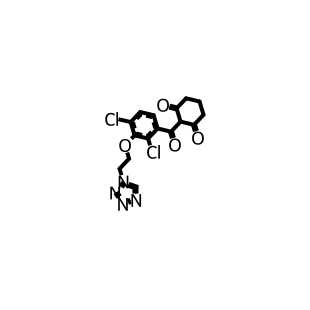 O=C1CCCC(=O)C1C(=O)c1ccc(Cl)c(OCCn2cnnn2)c1Cl